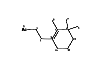 CC(=O)CCC1=C(C)C(C)(C)CCC1